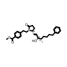 COC(=O)c1ccc(CCN2C(=O)CC[C@@H]2C=C[C@H](O)[C@@H](C)CCCCc2ccccc2)cc1